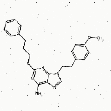 COc1ccc(CCn2cnc3c(N)nc(SCCCc4ccccc4)nc32)cc1